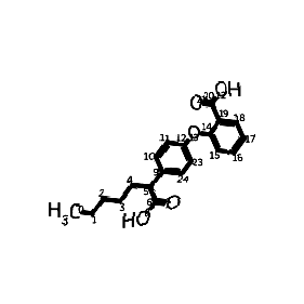 CCCCCC(C(=O)O)c1ccc(Oc2ccccc2C(=O)O)cc1